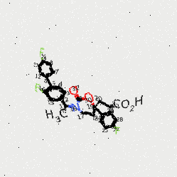 C[C@@H](c1ccc(-c2ccc(F)cc2)c(F)c1)N1CC[C@@](CCC(=O)O)(c2ccc(F)cc2)OC1=O